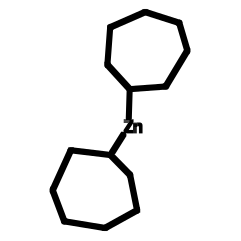 C1CCC[CH]([Zn][CH]2CCCCCC2)CC1